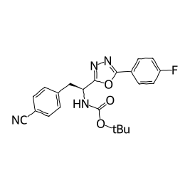 CC(C)(C)OC(=O)N[C@@H](Cc1ccc(C#N)cc1)c1nnc(-c2ccc(F)cc2)o1